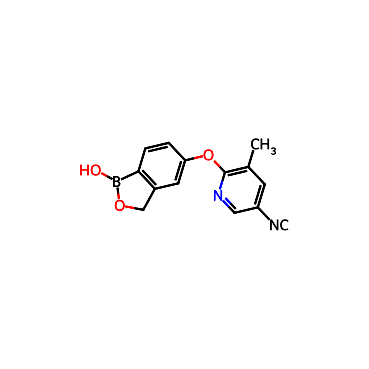 [C-]#[N+]c1cnc(Oc2ccc3c(c2)COB3O)c(C)c1